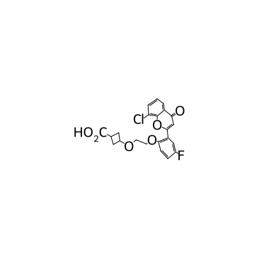 O=C(O)C1CC(OCCOc2ccc(F)cc2-c2cc(=O)c3cccc(Cl)c3o2)C1